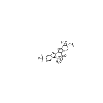 CCS(=O)(=O)c1c(-c2nc3cc(C(F)(F)F)ncc3n2C)nc2n1CCC(C)(C)C2